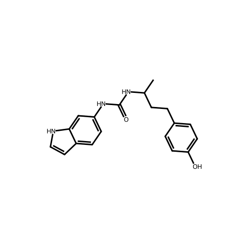 CC(CCc1ccc(O)cc1)NC(=O)Nc1ccc2cc[nH]c2c1